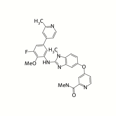 CNC(=O)c1cc(Oc2ccc3c(c2)nc(Nc2cc(-c4ccnc(C)c4)cc(F)c2OC)n3C)ccn1